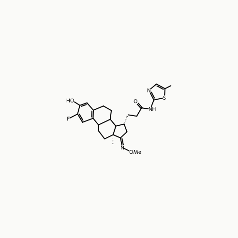 CON=C1C[C@@H](CCC(=O)Nc2ncc(C)s2)C2C3CCc4cc(O)c(F)cc4C3CC[C@]12C